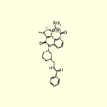 COC(=O)c1cccc2c1c1c(c(=O)n2C2CCCC(CNC(=O)c3ccccc3)C2)C(C)ON1C(N)=O